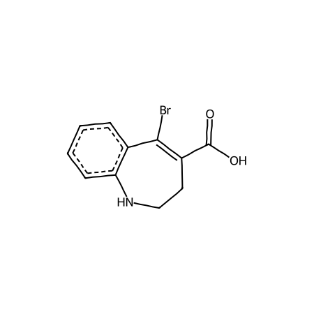 O=C(O)C1=C(Br)c2ccccc2NCC1